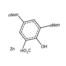 CCCCCCCCCc1cc(CCCCCCCCC)c(O)c(C(=O)O)c1.[Zn]